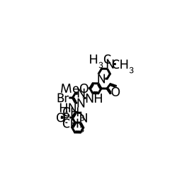 COc1cc(N2CCC(N(C)C)CC2)c(-c2ccoc2)cc1Nc1ncc(Br)c(Nc2cnc3ccccc3c2P(C)(C)=O)n1